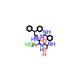 CC(C)C(NC(=O)C(CO)Nc1cccc(C(=N)N)c1)C(=O)NCCC(c1ccccc1)c1ccccc1.Cl